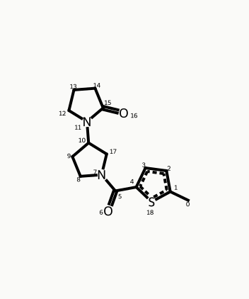 Cc1ccc(C(=O)N2CCC(N3CCCC3=O)C2)s1